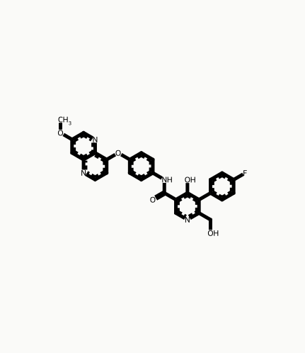 COc1cnc2c(Oc3ccc(NC(=O)c4cnc(CO)c(-c5ccc(F)cc5)c4O)cc3)ccnc2c1